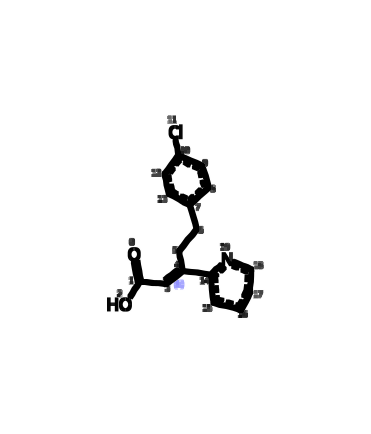 O=C(O)/C=C(\CCc1ccc(Cl)cc1)c1ccccn1